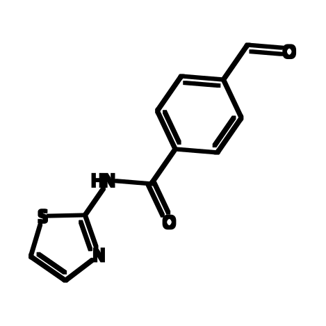 O=Cc1ccc(C(=O)Nc2nccs2)cc1